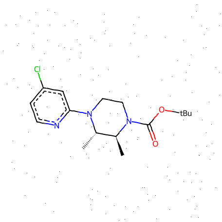 C[C@H]1[C@H](C)N(c2cc(Cl)ccn2)CCN1C(=O)OC(C)(C)C